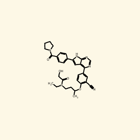 CCN(CCC(C)Oc1ccc(-c2ncnc3[nH]c(-c4ccc(C(=O)N5CCCC5)cc4)cc23)cc1C#N)C(=O)CO